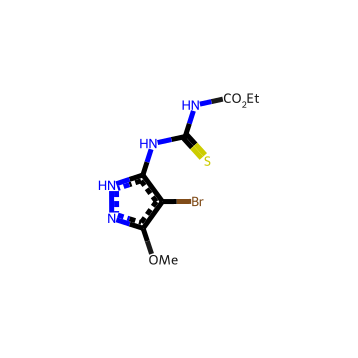 CCOC(=O)NC(=S)Nc1[nH]nc(OC)c1Br